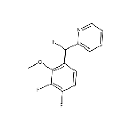 COc1c(C(F)c2ccccn2)ccc(F)c1F